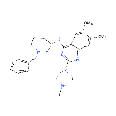 COc1cc2nc(N3CCN(C)CC3)nc(NC3CCCN(Cc4ccccc4)C3)c2cc1OC